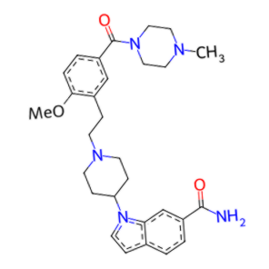 COc1ccc(C(=O)N2CCN(C)CC2)cc1CCN1CCC(n2ccc3ccc(C(N)=O)cc32)CC1